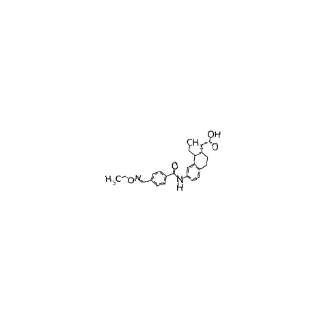 CCON=Cc1ccc(C(=O)Nc2ccc3c(c2)C(CC)C(CC(=O)O)CC3)cc1